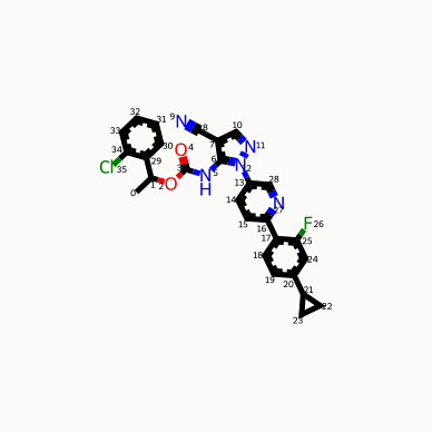 CC(OC(=O)Nc1c(C#N)cnn1-c1ccc(-c2ccc(C3CC3)cc2F)nc1)c1ccccc1Cl